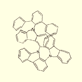 c1ccc(-c2cccc(-c3ccccc3)c2-n2c3ccccc3c3c(-n4c5ccccc5c5cccc(-n6c7ccccc7c7ccccc76)c54)cccc32)cc1